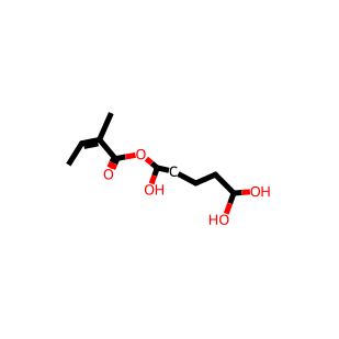 CC=C(C)C(=O)OC(O)CCCC(O)O